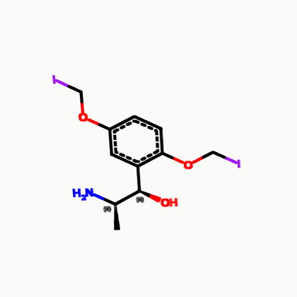 C[C@@H](N)[C@H](O)c1cc(OCI)ccc1OCI